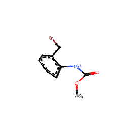 CCCCOC(=O)Nc1ccccc1CBr